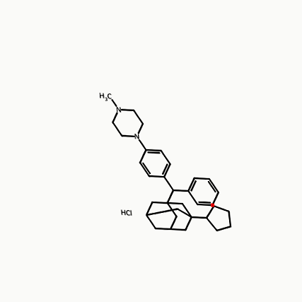 CN1CCN(c2ccc(C(c3ccccc3)C34CC5CC(CC(C6CCCC6)(C5)C3)C4)cc2)CC1.Cl